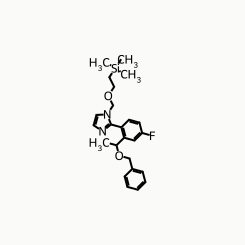 CC(OCc1ccccc1)c1cc(F)ccc1-c1nccn1COCC[Si](C)(C)C